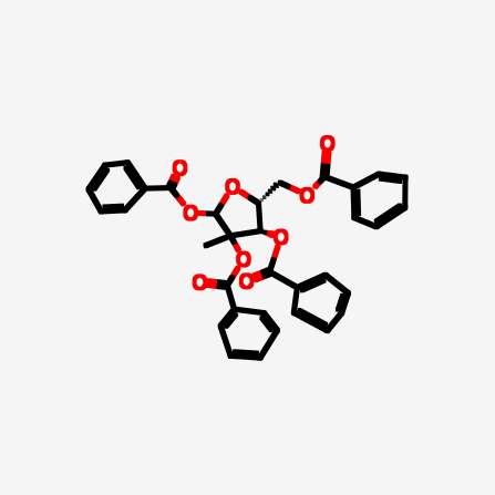 CC1(OC(=O)c2ccccc2)C(OC(=O)c2ccccc2)O[C@H](COC(=O)c2ccccc2)[C@H]1OC(=O)c1ccccc1